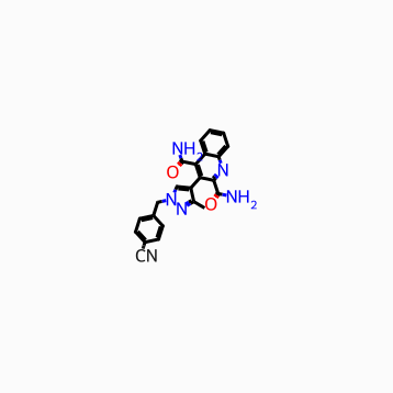 Cc1nn(Cc2ccc(C#N)cc2)cc1-c1c(C(N)=O)nc2ccccc2c1C(N)=O